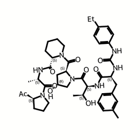 CCc1ccc(NC(=O)N[C@@H](Cc2cccc(C)c2)C(=O)N[C@H](C(=O)N2C[C@H](O)C[C@H]2C(=O)N2CCCC[C@H]2C(=O)N[C@@H](C)C(=O)N2CCC[C@H]2C(C)=O)[C@H](C)O)cc1